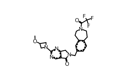 COC1CN(c2ncc3c(n2)CN(Cc2ccc4c(c2)CCN(C(=O)C(F)(F)F)CC4)C3=O)C1